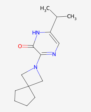 CC(C)c1cnc(N2CC3(CCCC3)C2)c(=O)[nH]1